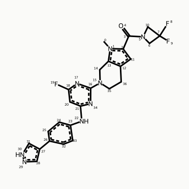 Cn1c(C(=O)N2CC(F)(F)C2)cc2c1CN(c1nc(F)cc(Nc3ccc(-c4cn[nH]c4)cc3)n1)CC2